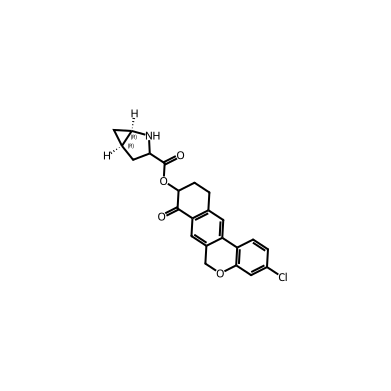 O=C(OC1CCc2cc3c(cc2C1=O)COc1cc(Cl)ccc1-3)C1C[C@H]2C[C@H]2N1